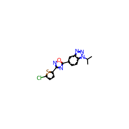 CC(C)n1nnc2cc(-c3nc(-c4ccc(Cl)s4)no3)ccc21